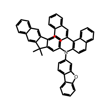 CC1(C)c2cc(N(c3ccc4c(c3)oc3ccccc34)c3ccc4ccccc4c3-c3ccc4ccccc4c3)ccc2-c2cc3ccccc3cc21